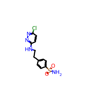 NS(=O)(=O)c1ccc(CCNc2ccc(Cl)nn2)cc1